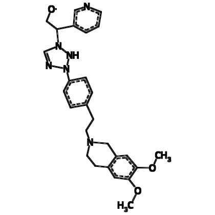 COc1cc2c(cc1OC)CN(CCc1ccc(N3N=CN(C(C[O])c4cccnc4)N3)cc1)CC2